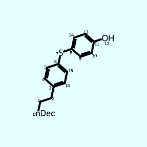 CCCCCCCCCCCCc1ccc(Sc2ccc(O)cc2)cc1